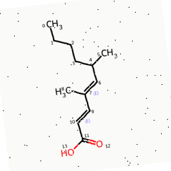 CCCCC(C)/C=C(C)/C=C/C(=O)O